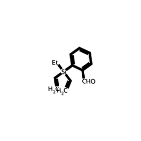 C=C[Si](C=C)(CC)c1ccccc1C=O